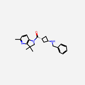 Cc1ccc2c(n1)C(C)(C)CN2C(=O)[C@H]1C[C@H](NCc2ccccc2)C1